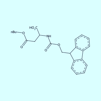 CCCCOC(=O)CC(NC(=O)OCC1c2ccccc2-c2ccccc21)C(=O)O